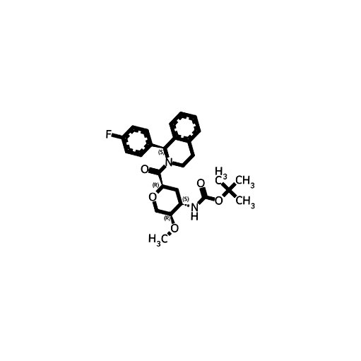 CO[C@H]1CO[C@@H](C(=O)N2CCc3ccccc3[C@@H]2c2ccc(F)cc2)C[C@@H]1NC(=O)OC(C)(C)C